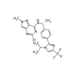 CC(C)n1cc(C(F)(F)F)nc1-c1ccc([C@@H](C)Nc2nc(Cl)nc3cn(C)nc23)cc1